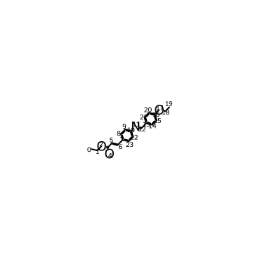 CCOC(=O)/C=C/c1ccc(N=Cc2ccc(OCC)cc2)cc1